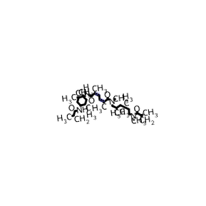 C=C(C)C(=O)NC1CC(C)(C)C(C)(NC(=O)/C(C)=C\C=C(\C)C(=O)N(C)CC(C)CC(C)(C)CCN(C)C(=O)C(=C)C)CC1C